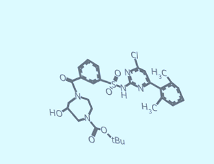 Cc1cccc(C)c1-c1cc(Cl)nc(NS(=O)(=O)c2cccc(C(=O)N3CCN(C(=O)OC(C)(C)C)CC(O)C3)c2)n1